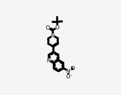 CC(C)(C)OC(=O)N1CC=C(c2cnc3ccc([N+](=O)[O-])cc3c2)CC1